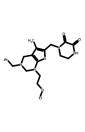 CCOCCN1CN(CC(C)C)Cc2c1sc(CN1CCNC(=O)C1=O)c2C